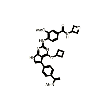 C=C(NC)c1ccc(-c2c[nH]c3nc(Nc4ccc(C(=O)NC5COC5)cc4OC)nc(OC4CCC4)c23)cc1